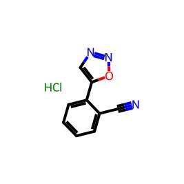 Cl.N#Cc1ccccc1-c1cnno1